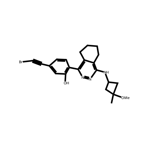 COC1(C)CC(Nc2nnc(-c3ccc(C#CBr)cc3O)c3c2CCCC3)C1